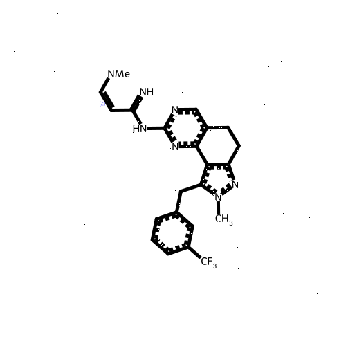 CN/C=C\C(=N)Nc1ncc2c(n1)-c1c(nn(C)c1Cc1cccc(C(F)(F)F)c1)CC2